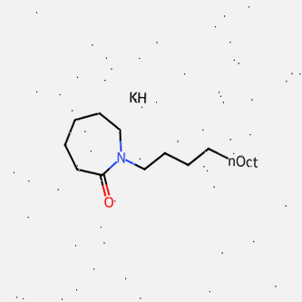 CCCCCCCCCCCCN1CCCCCC1=O.[KH]